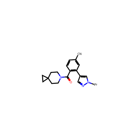 CC(C)n1cc(-c2cc(C#N)ccc2C(=O)N2CCC3(CC2)CC3)cn1